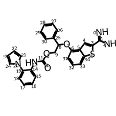 N=C(N)c1cc2c(OC(COC(=O)Nc3ccccc3-n3cccc3)c3ccccc3)cccc2s1